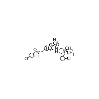 CN(C)C1(Cc2ccccc2Cl)CCC(NC(=O)C(C)(C)Oc2ccc(CCNC(=O)c3ccc(Cl)cc3)cc2)CC1